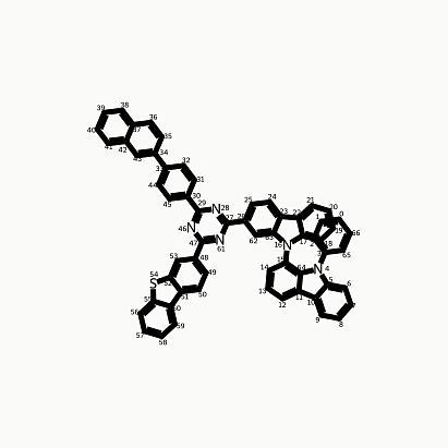 c1ccc(-n2c3ccccc3c3cccc(-n4c5ccccc5c5ccc(-c6nc(-c7ccc(-c8ccc9ccccc9c8)cc7)nc(-c7ccc8c(c7)sc7ccccc78)n6)cc54)c32)cc1